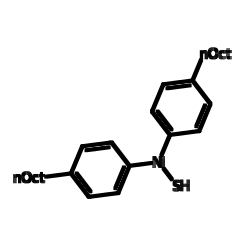 CCCCCCCCc1cc[c]([Ni]([SH])[c]2ccc(CCCCCCCC)cc2)cc1